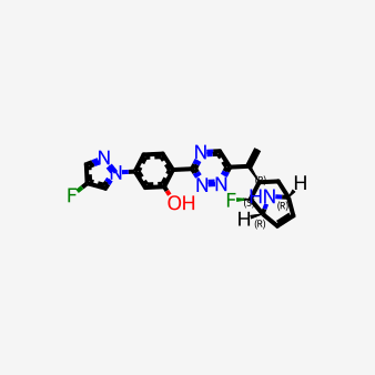 C=C(c1cnc(-c2ccc(-n3cc(F)cn3)cc2O)nn1)[C@H]1C[C@@H]2C=C[C@@H](N2)[C@H]1F